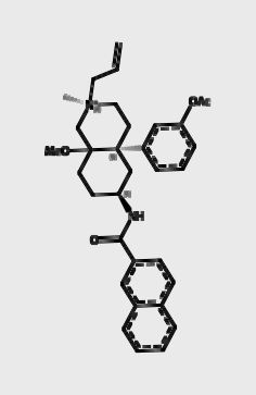 C=CC[N@@+]1(C)CC[C@@]2(c3cccc(OC(C)=O)c3)C[C@@H](NC(=O)c3ccc4ccccc4c3)CCC2(OC)C1